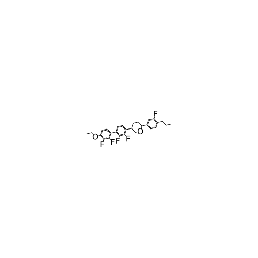 CCCc1ccc(C2CCC(c3ccc(-c4ccc(OCC)c(F)c4F)c(F)c3F)CO2)cc1F